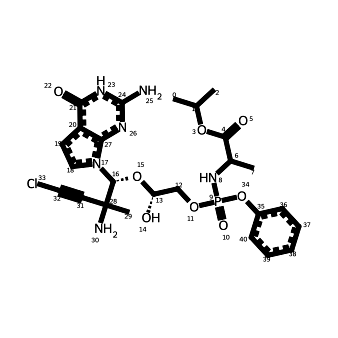 CC(C)OC(=O)C(C)NP(=O)(OC[C@H](O)O[C@@H](n1ccc2c(=O)[nH]c(N)nc21)C(C)(N)C#CCl)Oc1ccccc1